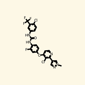 Cn1cc(-c2nccc(Oc3ccc(NC(=O)Nc4ccc(Cl)c(C(F)(F)F)c4)c(F)c3)c2Cl)cn1